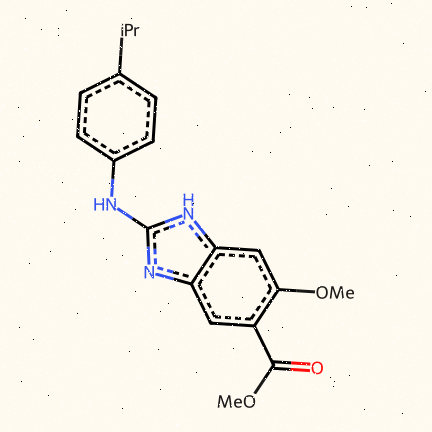 COC(=O)c1cc2nc(Nc3ccc(C(C)C)cc3)[nH]c2cc1OC